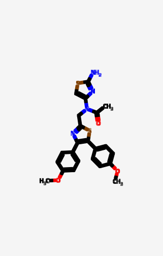 COc1ccc(-c2nc(CN(C(C)=O)c3csc(N)n3)sc2-c2ccc(OC)cc2)cc1